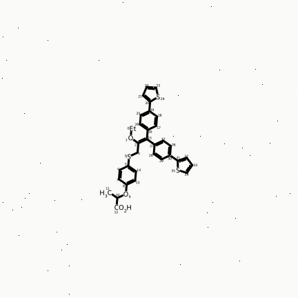 CCOC(CSc1ccc(OC(C)C(=O)O)cc1)=C(c1ccc(-c2cccs2)cc1)c1ccc(-c2cccs2)cc1